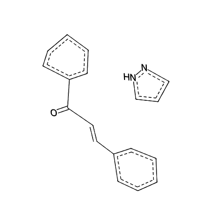 O=C(C=Cc1ccccc1)c1ccccc1.c1cn[nH]c1